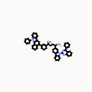 C=C(CCC(=C)C1=Cc2c(c3ccccc3n2-c2nc(-c3ccccc3)c3ccccc3n2)CC1)C1=CC(c2cc3c4ccccc4n(-c4ccccc4)c3c3ccccc23)=CCC1